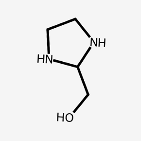 OCC1NCCN1